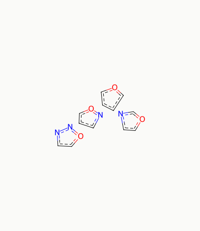 c1ccoc1.c1cnoc1.c1cocn1.c1conn1